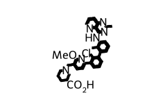 COc1nc(-c2cccc(-c3cccc(Nc4nc(C)nc5cccnc45)c3C)c2Cl)ccc1CN1CCC[C@@H](C(=O)O)C1